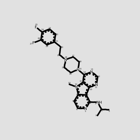 CC(C)Nc1nccc2c1c1ncnc(N3CCN(CCc4ccc(F)c(F)c4)CC3)c1n2C